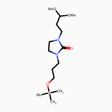 COC(CCN1CCN(CCCO[Si](C)(C)C(C)(C)C)C1=O)OC